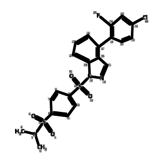 CN(C)S(=O)(=O)c1ccc(S(=O)(=O)n2ncc3c(-c4ccc(Cl)cc4F)cccc32)cc1